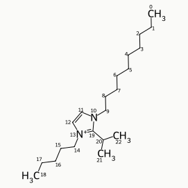 CCCCCCCCCCn1cc[n+](CCCCC)c1C(C)C